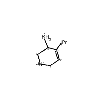 CC(C)C1=CCNCC1N